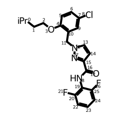 CC(C)CCOc1ccc(Cl)cc1Cn1ccc(C(=O)Nc2c(F)cccc2F)n1